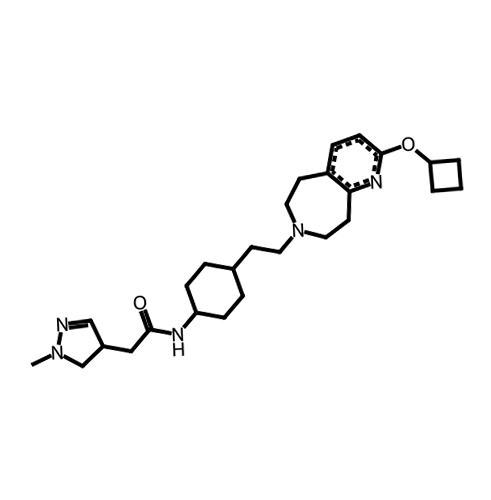 CN1CC(CC(=O)NC2CCC(CCN3CCc4ccc(OC5CCC5)nc4CC3)CC2)C=N1